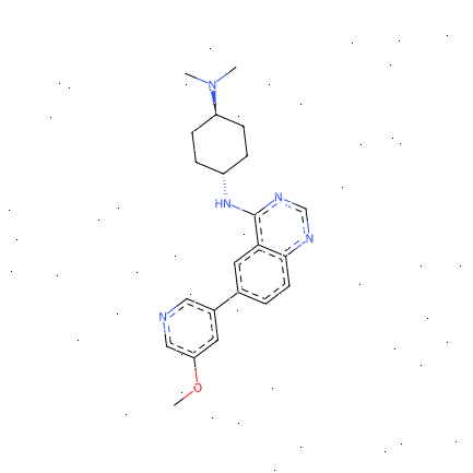 COc1cncc(-c2ccc3ncnc(N[C@H]4CC[C@H](N(C)C)CC4)c3c2)c1